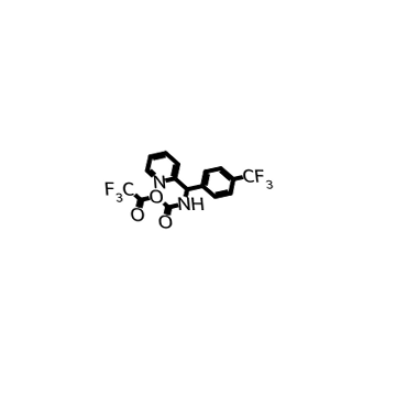 O=C(NC(c1ccc(C(F)(F)F)cc1)c1ccccn1)OC(=O)C(F)(F)F